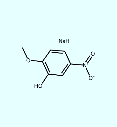 COc1ccc([N+](=O)[O-])cc1O.[NaH]